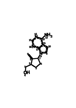 C=C1C(CO)CCC1n1ccc2c(N)ncnc21